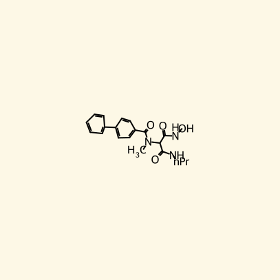 CCCNC(=O)C(C(=O)NO)N(C)C(=O)c1ccc(-c2ccccc2)cc1